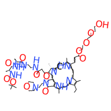 CCC1=C(C)c2cc3[nH]c(cc4nc(c5c6[nH]c(cc1n2)c(C)c6C(=O)N(CCN1CCOCC1)C5=O)[C@@H](CCC(=O)NCCNC(=O)[C@H](C)NC(=O)[C@H](C)NC(=O)OC(C)(C)C)[C@@H]4C)c(C)c3/C=C/C(=O)OCCOCCOCCO